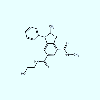 CNC(=O)c1cc(C(=O)NCCO)cc2c1OC(C)C2c1ccccc1